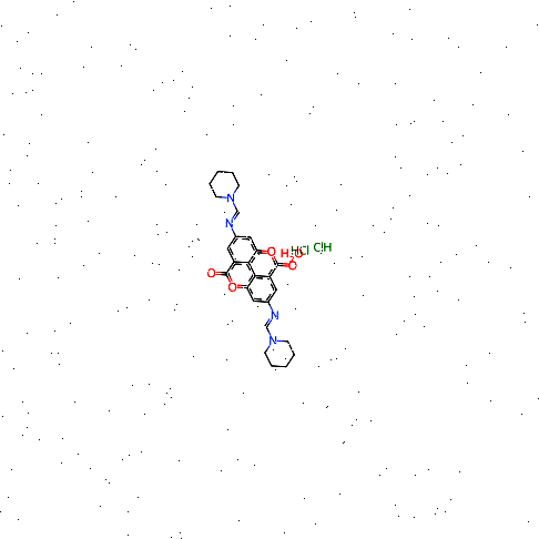 Cl.Cl.O.O=c1oc2cc(/N=C/N3CCCCC3)cc3c(=O)oc4cc(/N=C/N5CCCCC5)cc1c4c23